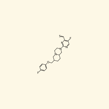 Fc1ccc(OCC2CCC3CN(c4ncc(F)c(C=S)n4)CCN3C2)cc1